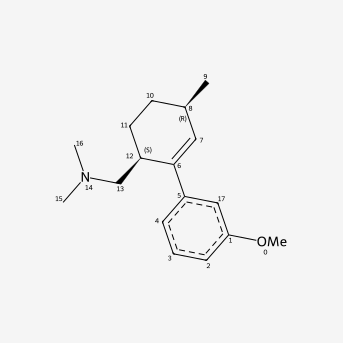 COc1cccc(C2=C[C@H](C)CC[C@@H]2CN(C)C)c1